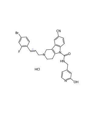 Cl.N#Cc1ccc2c(c1)c1c(n2C(=O)NCc2ccnc(O)c2)CCN(C/C=C/c2ccc(Br)cc2F)C1